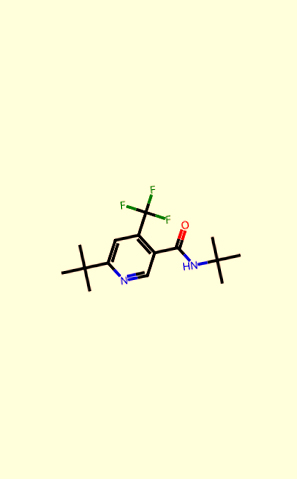 CC(C)(C)NC(=O)c1cnc(C(C)(C)C)cc1C(F)(F)F